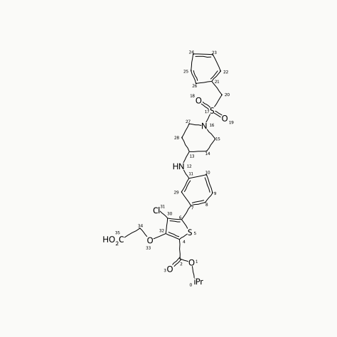 CC(C)OC(=O)c1sc(-c2cccc(NC3CCN(S(=O)(=O)Cc4ccccc4)CC3)c2)c(Cl)c1OCC(=O)O